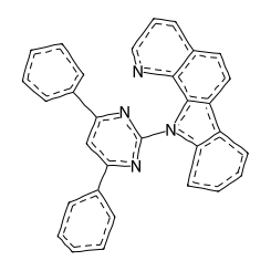 c1ccc(-c2cc(-c3ccccc3)nc(-n3c4ccccc4c4ccc5cccnc5c43)n2)cc1